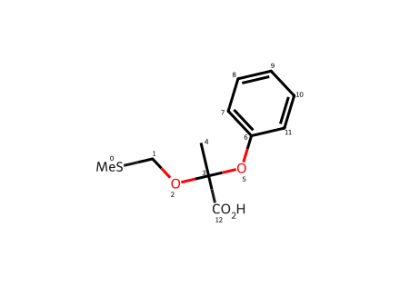 CSCOC(C)(Oc1ccccc1)C(=O)O